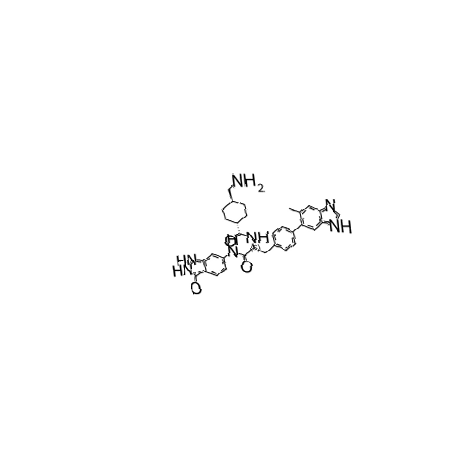 Cc1cc2nc[nH]c2cc1-c1ccc(C[C@H](NC(=O)[C@H]2CC[C@H](CN)CC2)C(=O)Nc2ccc3c(=O)[nH][nH]c3c2)cc1